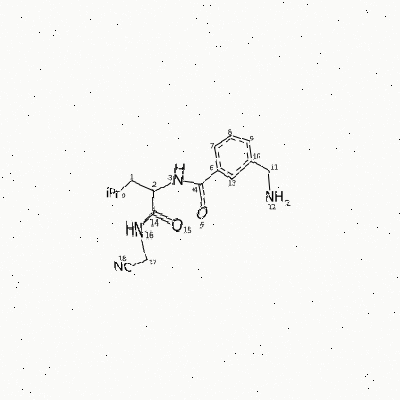 CC(C)CC(NC(=O)c1cccc(CN)c1)C(=O)NCC#N